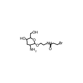 NC1CC(O)C(CO)OC1OCCNC(=O)CCBr